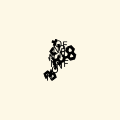 CN(c1nc(OCC23CCCN2CCC3)nc2c(F)c(-c3cccc4ccc(F)c(F)c34)ncc12)[C@@H]1CCN(C(=O)OC(C)(C)C)C1